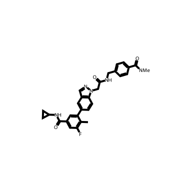 CNC(=O)c1ccc(CNC(=O)Cn2ncc3cc(-c4cc(C(=O)NC5CC5)cc(F)c4C)ccc32)cc1